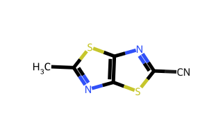 Cc1nc2sc(C#N)nc2s1